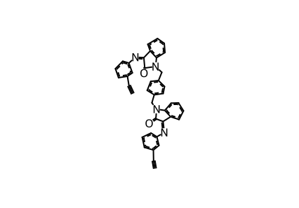 C#Cc1cccc(/N=C2\C(=O)N(Cc3ccc(CN4C(=O)/C(=N\c5cccc(C#C)c5)c5ccccc54)cc3)c3ccccc32)c1